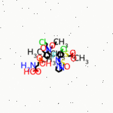 CCOCN(C(=O)CCl)c1c(C)cccc1CC.COC(=O)CSc1cc(/N=c2\sc(=O)n3n2CCCC3)c(F)cc1Cl.CP(=O)(O)CCC(N)C(=O)O